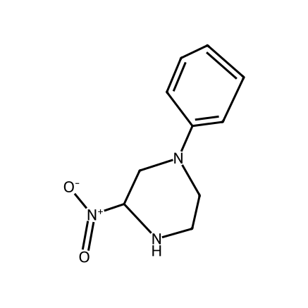 O=[N+]([O-])C1CN(c2ccccc2)CCN1